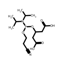 CC(C)N(C(C)C)P(OCCC#N)OC(CC(=O)O)CC(=O)O